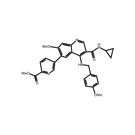 COC(=O)c1ccc(-c2cc3c(NCc4ccc(OC)cc4)c(C(=O)NC4CC4)cnc3cc2OC)cn1